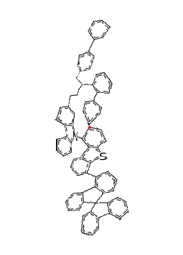 c1ccc(-c2ccc(CC(CCc3ccc4c5ccccc5n(-c5cccc6sc7c(-c8cccc9c8-c8ccccc8C98c9ccccc9-c9ccccc98)cccc7c56)c4c3)c3ccccc3-c3ccccc3)cc2)cc1